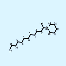 [CH2]C(CCCCCCCCCCC)N1CCCCC1